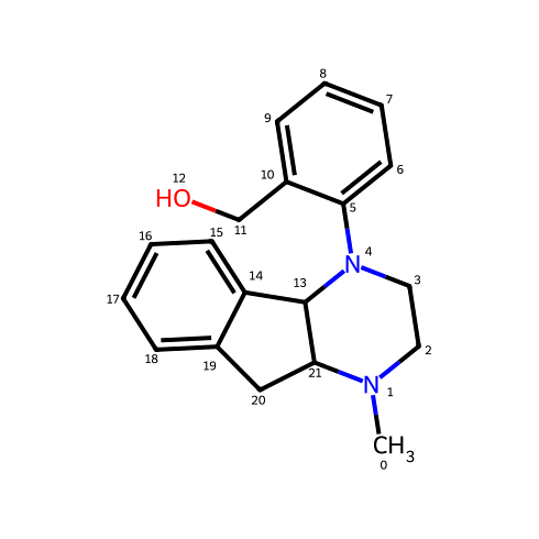 CN1CCN(c2ccccc2CO)C2c3ccccc3CC21